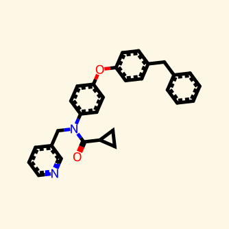 O=C(C1CC1)N(Cc1cccnc1)c1ccc(Oc2ccc(Cc3ccccc3)cc2)cc1